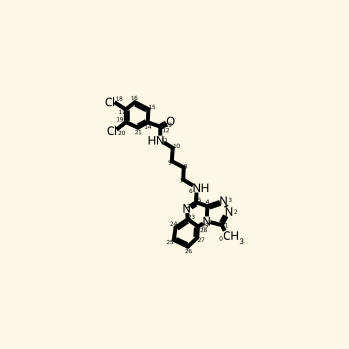 Cc1nnc2c(NCCCCNC(=O)c3ccc(Cl)c(Cl)c3)nc3ccccc3n12